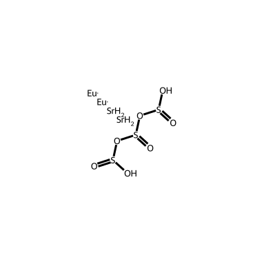 O=S(O)OS(=O)OS(=O)O.[Eu].[Eu].[SrH2].[SrH2]